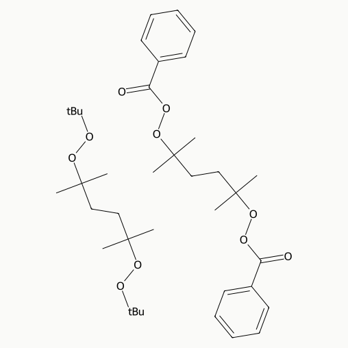 CC(C)(C)OOC(C)(C)CCC(C)(C)OOC(C)(C)C.CC(C)(CCC(C)(C)OOC(=O)c1ccccc1)OOC(=O)c1ccccc1